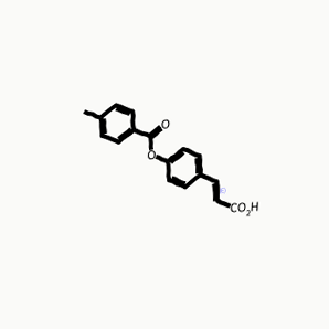 Cc1ccc(C(=O)Oc2ccc(/C=C/C(=O)O)cc2)cc1